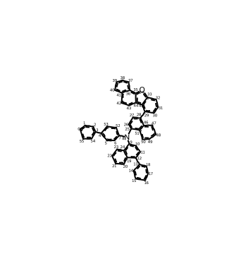 c1ccc(-c2ccc(N(c3ccc(-c4ccccc4)c4ccccc34)c3ccc(-c4cccc5oc6c7ccccc7ccc6c45)c4ccccc34)cc2)cc1